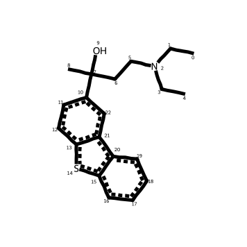 CCN(CC)CCC(C)(O)c1ccc2sc3ccccc3c2c1